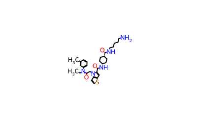 CCN(C(=O)Cn1c(C(=O)N[C@H]2CC[C@H](C(=O)NCCCCCN)CC2)cc2sccc21)c1cccc(C)c1